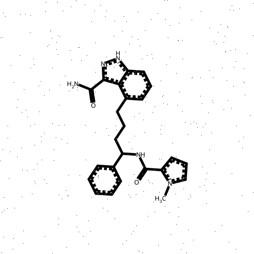 Cn1cccc1C(=O)NC(CCCc1cccc2[nH]nc(C(N)=O)c12)c1ccccc1